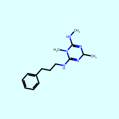 CNC1=NC(C)N=C(NCCCc2ccccc2)N1C